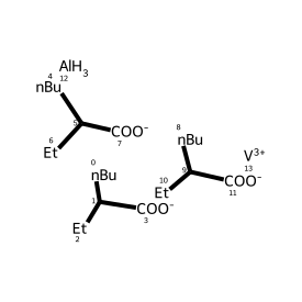 CCCCC(CC)C(=O)[O-].CCCCC(CC)C(=O)[O-].CCCCC(CC)C(=O)[O-].[AlH3].[V+3]